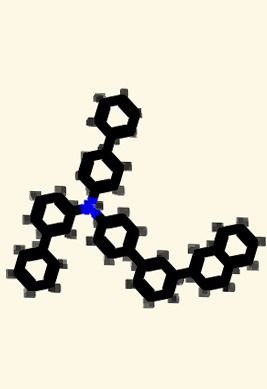 c1ccc(-c2ccc(N(c3ccc(-c4cccc(-c5ccc6ccccc6c5)c4)cc3)c3cccc(-c4ccccc4)c3)cc2)cc1